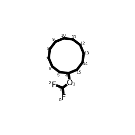 FC(F)OC1CCCCCCCCCCC1